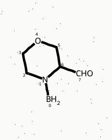 BN1CCOCC1C=O